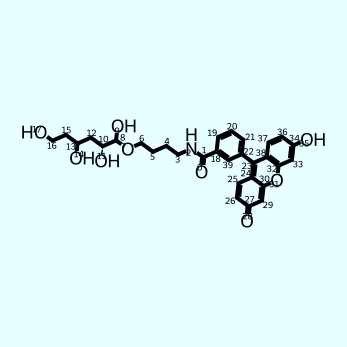 O=C(NCCCCOC(O)[C@H](O)CC(O)CCO)c1cccc(-c2c3ccc(=O)cc-3oc3cc(O)ccc23)c1